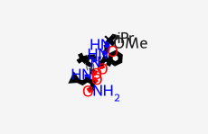 COC[C@@](C)(CC(C)C)NC(=O)N[C@H](C(=O)N1CC2C([C@H]1C(=O)NC(CC1CC1)C(=O)C(N)=O)C2(C)C)C1(C)CCCCC1